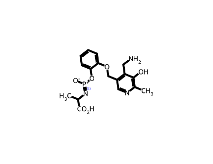 Cc1ncc(COc2ccccc2O/[P+]([O-])=N/C(C)C(=O)O)c(CN)c1O